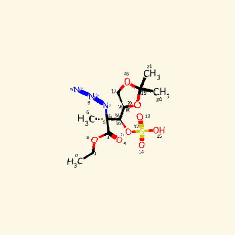 CCOC(=O)[C@@](C)(N=[N+]=[N-])[C@H](OS(=O)(=O)O)[C@H]1COC(C)(C)O1